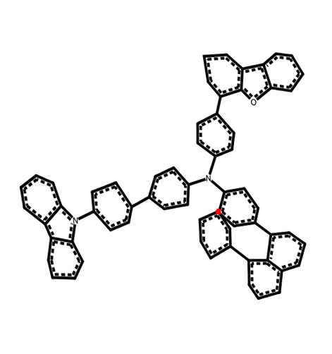 c1ccc(-c2cccc3cccc(-c4ccc(N(c5ccc(-c6ccc(-n7c8ccccc8c8ccccc87)cc6)cc5)c5ccc(-c6cccc7c6oc6ccccc67)cc5)cc4)c23)cc1